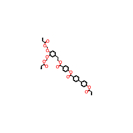 C=CC(=O)OCOc1ccc(CCOC(=O)c2ccc(OC(=O)c3ccc(-c4ccc(OC(=O)C=C)cc4)cc3)cc2)cc1OCOC(=O)C=C